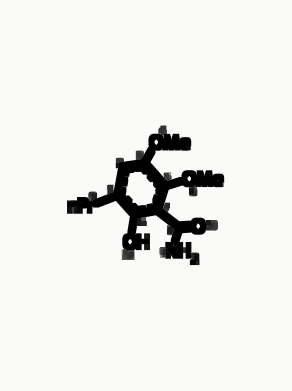 CCCc1cc(OC)c(OC)c(C(N)=O)c1O